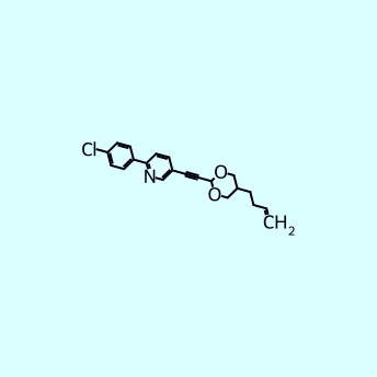 C=CCCC1COC(C#Cc2ccc(-c3ccc(Cl)cc3)nc2)OC1